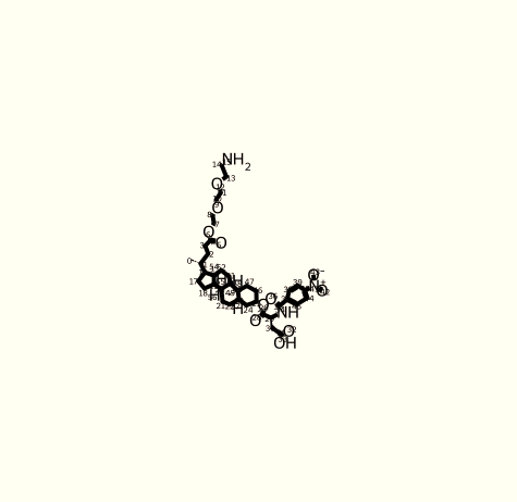 C[C@H](CCC(=O)OCCOCCOCCN)C1CC[C@H]2[C@@H]3CC[C@@H]4C[C@H](OC(=O)[C@H](CC(=O)O)NC(=O)c5ccc([N+](=O)[O-])cc5)CC[C@]4(C)[C@H]3CC[C@]12C